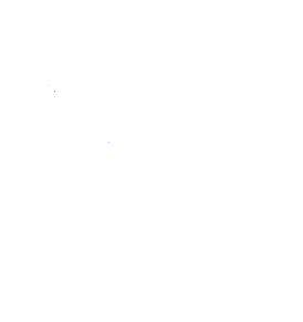 C[C@@H]1CN(c2ccc(S(C)(=O)=O)cc2F)CCN1